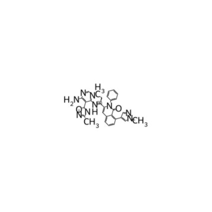 CC[C@H](Nc1ncnc(N)c1-c1nc(C)no1)c1cc2cccc(-c3cnn(C)c3)c2c(=O)n1-c1ccccc1